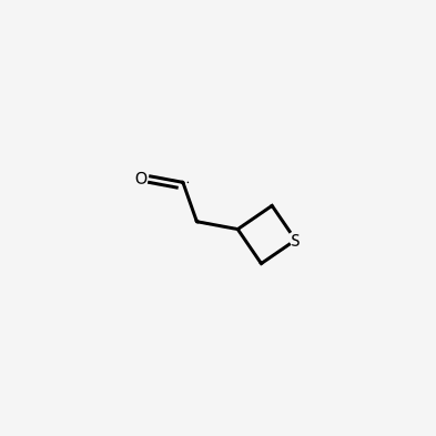 O=[C]CC1CSC1